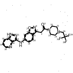 O=C(Cc1noc2cc(Nc3n[nH]c4cccnc34)ccc12)N1CCN(CC(F)(F)F)CC1